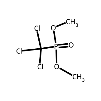 COP(=O)(OC)C(Cl)(Cl)Cl